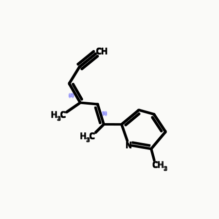 C#C/C=C(C)\C=C(/C)c1cccc(C)n1